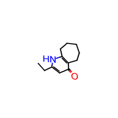 CCc1cc(=O)c2c([nH]1)CCCCC2